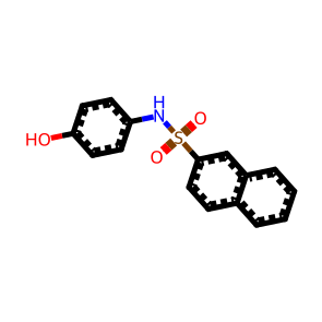 O=S(=O)(Nc1ccc(O)cc1)c1ccc2ccccc2c1